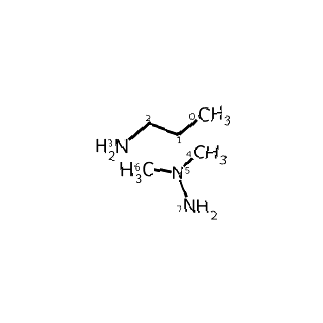 CCCN.CN(C)N